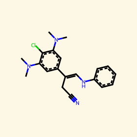 CN(C)c1cc(C(=CNc2ccccc2)CC#N)cc(N(C)C)c1Cl